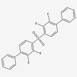 O=S(=O)(c1ccc(-c2ccccc2)c(F)c1F)c1ccc(-c2ccccc2)c(F)c1F